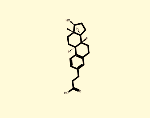 C[C@]12CC[C@@H]3c4ccc(CCC(=O)O)cc4CC[C@H]3[C@@H]1CC[C@@H]2O